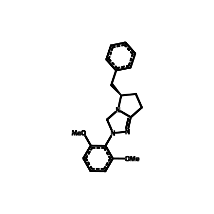 COc1cccc(OC)c1N1CN2C(=N1)CC[C@@H]2Cc1ccccc1